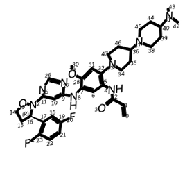 C=CC(=O)Nc1cc(Nc2cc(N3OCC[C@@H]3c3cc(F)ccc3F)ncn2)c(OC)cc1N1CCC(N2CCC(N(C)C)CC2)CC1